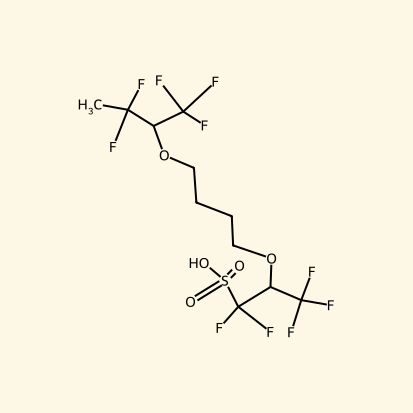 CC(F)(F)C(OCCCCOC(C(F)(F)F)C(F)(F)S(=O)(=O)O)C(F)(F)F